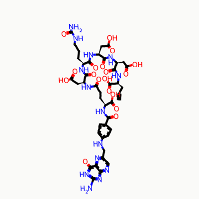 C#CC[C@H](NC(=O)[C@H](CC(=O)O)NC(=O)[C@H](CC(=O)O)NC(=O)[C@H](CCCNC(N)=O)NC(=O)[C@H](CC(=O)O)NC(=O)CC[C@H](NC(=O)c1ccc(NCc2cnc3nc(N)[nH]c(=O)c3n2)cc1)C(=O)O)C(=O)O